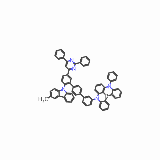 Cc1ccc2c(c1)c1ccccc1n2-c1ccc(-c2cc(-c3ccccc3)nc(-c3ccccc3)n2)cc1-c1ccc(-c2cccc(N3c4ccccc4B4c5ccccc5N(c5ccccc5)c5cccc3c54)c2)cc1